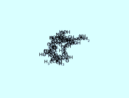 CC(C)CC(NC(=O)C(Cc1ccccc1)NC(=O)C(CC(=O)O)NC(=O)CNC(=O)C(CCC(=O)O)NC(=O)CNC(=O)C(CO)NC(=O)C(CC(=O)O)NC(=O)C(C)N)C(=O)NC(C)C(=O)NC(CCC(=O)O)C(=O)NCC(=O)NCC(=O)NCC(=O)NC(C(=O)NC(CCCN=C(N)N)C(=O)O)C(C)C